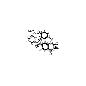 CCCCC(=O)N(Cc1ccc(C(=O)O)cc1)c1cc(S(=O)(=O)N2CCOCC2)ccc1N(C)C